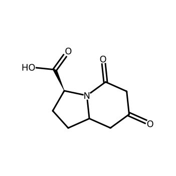 O=C1CC(=O)N2C(CC[C@H]2C(=O)O)C1